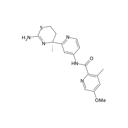 COc1cnc(C(=O)Nc2ccnc([C@]3(C)CCSC(N)=N3)c2)c(C)c1